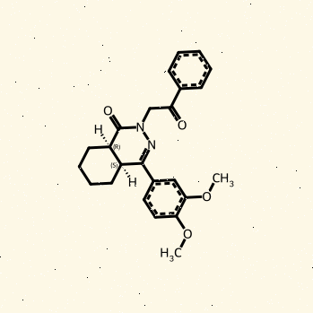 COc1ccc(C2=NN(CC(=O)c3ccccc3)C(=O)[C@@H]3CCCC[C@H]23)cc1OC